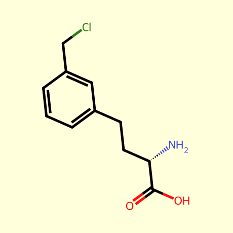 N[C@@H](CCc1cccc(CCl)c1)C(=O)O